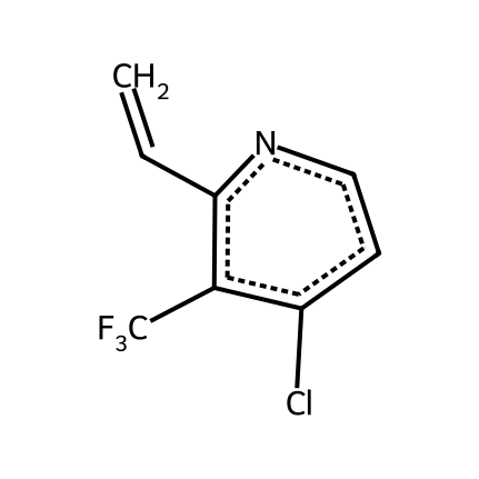 C=Cc1nccc(Cl)c1C(F)(F)F